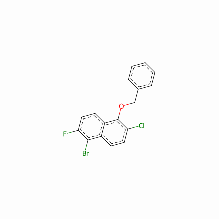 Fc1ccc2c(OCc3ccccc3)c(Cl)ccc2c1Br